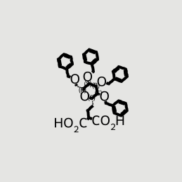 O=C(O)C(CC[C@@H]1O[C@H](COCc2ccccc2)[C@H](OCc2ccccc2)[C@H](OCc2ccccc2)[C@H]1OCc1ccccc1)C(=O)O